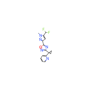 Cn1nc(-c2nc(C3(c4ccccn4)CC3)no2)cc1C(F)F